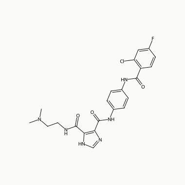 CN(C)CCNC(=O)c1[nH]cnc1C(=O)Nc1ccc(NC(=O)c2ccc(F)cc2Cl)cc1